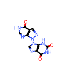 O=c1[nH]c(=O)c2ncn(-n3ncc4c(=O)[nH]cnc43)c2[nH]1